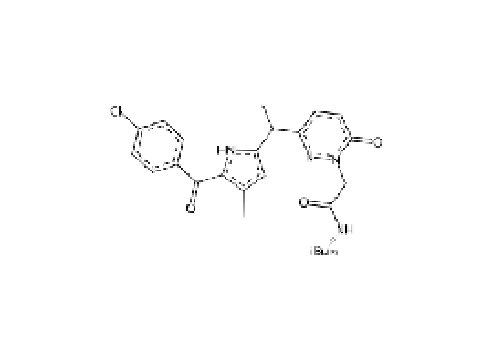 CC[C@@H](C)NC(=O)Cn1nc(C(C)c2cc(C)c(C(=O)c3ccc(Cl)cc3)[nH]2)ccc1=O